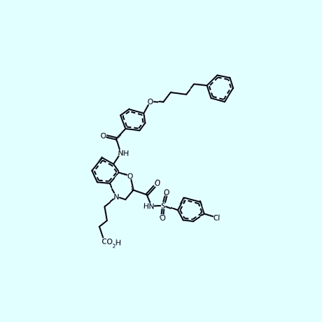 O=C(O)CCCN1CC(C(=O)NS(=O)(=O)c2ccc(Cl)cc2)Oc2c(NC(=O)c3ccc(OCCCCc4ccccc4)cc3)cccc21